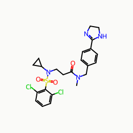 CN(Cc1ccc(C2=NCCN2)cc1)C(=O)CCN(C1CC1)S(=O)(=O)c1c(Cl)cccc1Cl